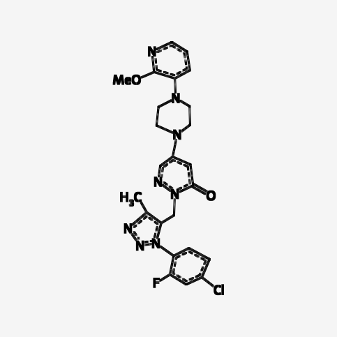 COc1ncccc1N1CCN(c2cnn(Cc3c(C)nnn3-c3ccc(Cl)cc3F)c(=O)c2)CC1